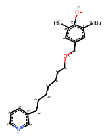 CC(C)(C)c1cc(COCCCCCCCc2cccnc2)cc(C(C)(C)C)c1O